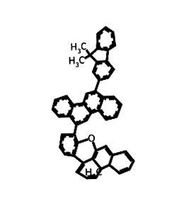 CC1(C)c2ccccc2-c2ccc(-c3cc4c5ccccc5c(-c5cccc6c5OC5=C7C6=CC=CC7(C)C6C=CC=CC6=C5)cc4c4ccccc34)cc21